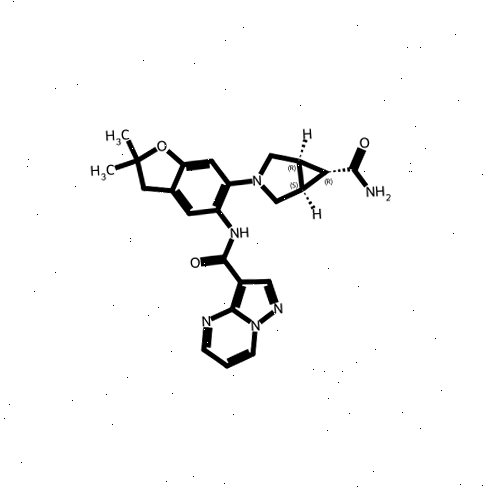 CC1(C)Cc2cc(NC(=O)c3cnn4cccnc34)c(N3C[C@@H]4[C@H](C3)[C@H]4C(N)=O)cc2O1